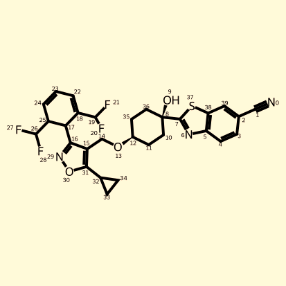 N#Cc1ccc2nc([C@]3(O)CC[C@@H](OCc4c(C5C(C(F)F)=CC=CC5C(F)F)noc4C4CC4)CC3)sc2c1